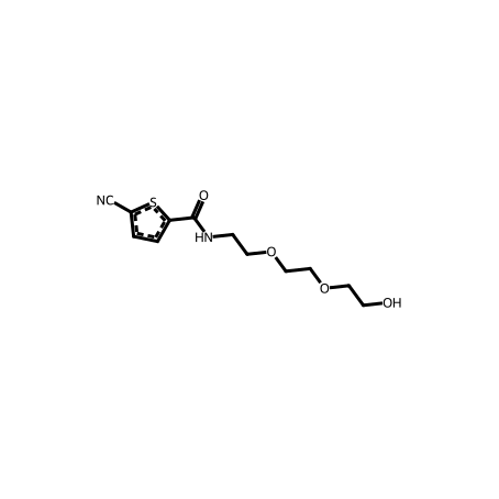 N#Cc1ccc(C(=O)NCCOCCOCCO)s1